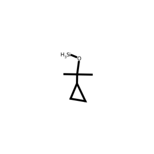 CC(C)(O[SiH3])C1CC1